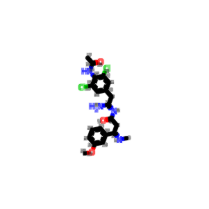 C/N=C(\CC(=O)/N=C(\N)Cc1cc(Cl)c(NC(C)=O)c(Cl)c1)c1cccc(OC)c1